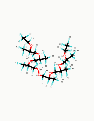 FC(F)(F)C(F)(F)OC(F)(C(F)(F)F)C(F)(F)OC(F)(C(F)(F)F)C(F)(F)OC(F)(C(F)(F)F)C(F)(F)OOC(F)(F)C(F)(OC(F)(F)C(F)(OC(F)(F)C(F)(OC(F)(F)C(F)(F)F)C(F)(F)F)C(F)(F)F)C(F)(F)F